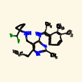 Cc1nc(CC(=O)O)c(CNC2(C(F)F)CC2)c(NC(C)c2cccc(C(F)(F)F)c2C)n1